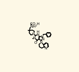 CN1C(=O)c2c(N3CCCc4ncccc43)nn(Cc3ccccc3)c2NC1N1CCC(C)(CNC(=O)O)CC1